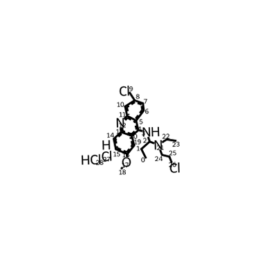 CCC(Nc1c2ccc(Cl)cc2nc2ccc(OC)cc12)N(CC)CCCl.Cl.Cl